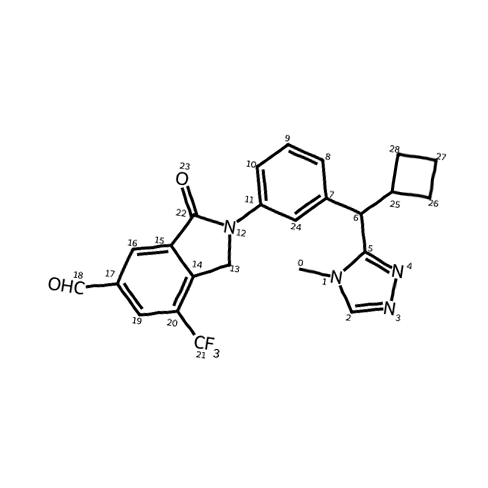 Cn1cnnc1C(c1cccc(N2Cc3c(cc(C=O)cc3C(F)(F)F)C2=O)c1)C1CCC1